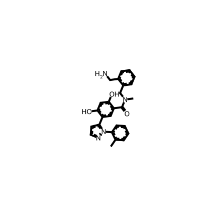 Cc1ccccc1-n1nccc1-c1cc(C(=O)N(C)Cc2ccccc2CN)c(O)cc1O